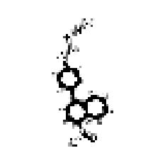 [N-]=[N+]=NN=Nc1ccc(-c2ccc([N+](=O)[O-])c3ccccc23)cc1